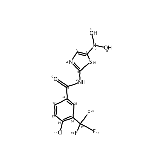 O=C(Nc1ncc(N(O)O)s1)c1ccc(Cl)c(C(F)(F)F)c1